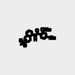 COc1cc(C(C)(C)C)ccc1C(=O)Nc1cccc2c1CCN(S(C)(=O)=O)C2